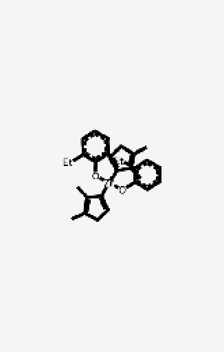 CCc1ccccc1[O][Zr]([O]c1ccccc1CC)([C]1=CCC(C)=C1C)[C]1=CCC(C)=C1C